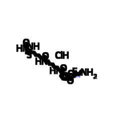 Cl.NC/C=C(\F)CS(=O)(=O)c1cccc(C(=O)NCCCCCNC(=O)CCCCC2SCC3NC(=O)NC32)c1